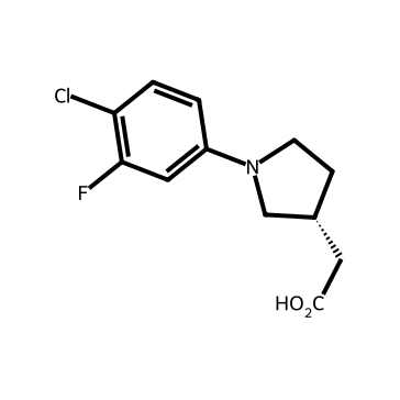 O=C(O)C[C@H]1CCN(c2ccc(Cl)c(F)c2)C1